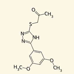 COc1cc(OC)cc(-c2nnc(SCC(C)=O)[nH]2)c1